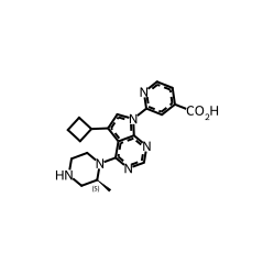 C[C@H]1CNCCN1c1ncnc2c1c(C1CCC1)cn2-c1cc(C(=O)O)ccn1